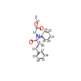 CCOC(=O)CN(C(=O)/C(C)=C/c1ccccc1)c1ccccc1